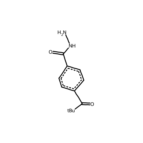 CC(C)(C)C(=O)c1ccc(C(=O)NN)cc1